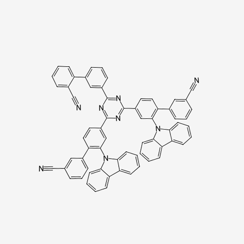 N#Cc1cccc(-c2ccc(-c3nc(-c4cccc(-c5ccccc5C#N)c4)nc(-c4ccc(-c5cccc(C#N)c5)c(-n5c6ccccc6c6ccccc65)c4)n3)cc2-n2c3ccccc3c3ccccc32)c1